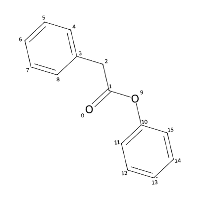 O=C(Cc1ccccc1)Oc1cc[c]cc1